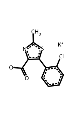 Cc1nc(C(=O)[O-])c(-c2ccccc2Cl)s1.[K+]